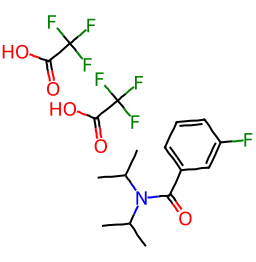 CC(C)N(C(=O)c1cccc(F)c1)C(C)C.O=C(O)C(F)(F)F.O=C(O)C(F)(F)F